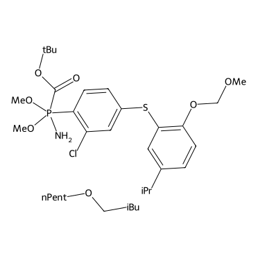 CCCCCOCC(C)CC.COCOc1ccc(C(C)C)cc1Sc1ccc(P(N)(OC)(OC)C(=O)OC(C)(C)C)c(Cl)c1